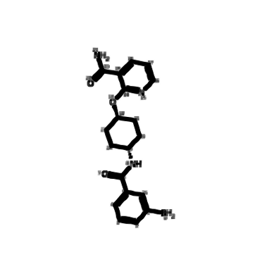 Bc1cccc(C(=O)N[C@H]2CC[C@H](Oc3ncccc3C(N)=O)CC2)c1